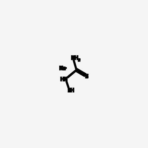 NC(=S)NS.[Na]